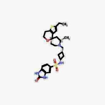 CCc1cc2c(s1)CCO[C@@]21CCN(C[C@H]2C[C@@H](NS(=O)(=O)c3ccc4[nH]c(=O)[nH]c4c3)C2)[C@@H](C)C1